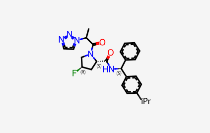 CC(C)c1ccc([C@@H](NC(=O)[C@@H]2C[C@@H](F)CN2C(=O)C(C)n2ccnn2)c2ccccc2)cc1